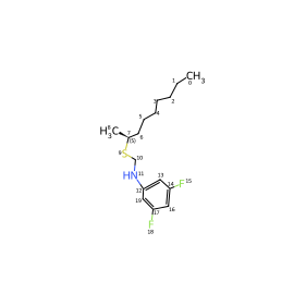 CCCCCCC[C@H](C)SCNc1cc(F)cc(F)c1